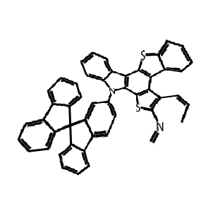 C=Nc1sc2c(c1/C=C\C)c1c3ccccc3sc1c1c3ccccc3n(-c3ccc4c(c3)C3(c5ccccc5-c5ccccc53)c3ccccc3-4)c21